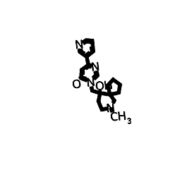 CN1CCC(O)(Cn2cnc(-c3cccnc3)cc2=O)C2(CCCC2)C1